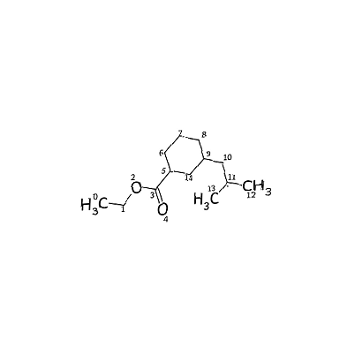 CCOC(=O)C1CCCC(C[C](C)C)C1